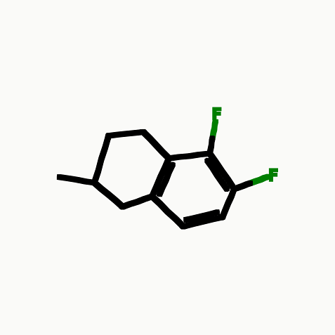 CC1CCc2c(ccc(F)c2F)C1